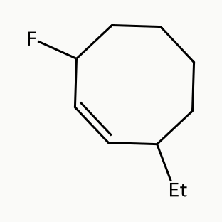 CCC1/C=C\C(F)CCCC1